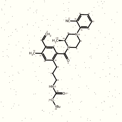 C=Cc1cc(C(=O)N2CCN(c3ccccc3C#N)C[C@@H]2C)c(CCCNC(=O)OC(C)(C)C)cc1C